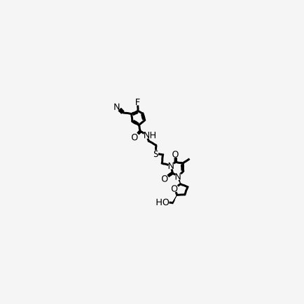 Cc1cn([C@H]2CC[C@@H](CO)O2)c(=O)n(CCSCCNC(=O)c2ccc(F)c(C#N)c2)c1=O